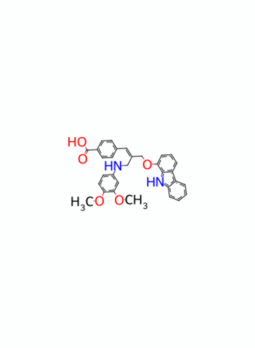 COc1ccc(NCC(=Cc2ccc(C(=O)O)cc2)COc2cccc3c2[nH]c2ccccc23)cc1OC